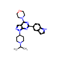 CC(C)N1CCC(n2ncc3c(N4CCOCC4)nc(-c4ccc5[nH]ccc5c4)nc32)CC1